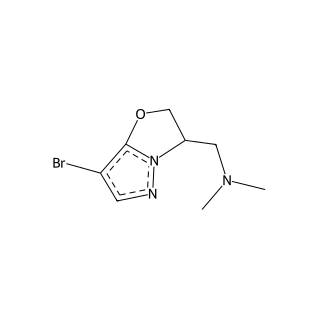 CN(C)CC1COc2c(Br)cnn21